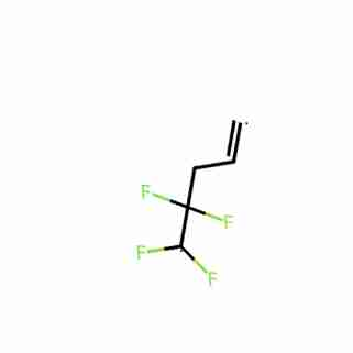 [CH]=CCC(F)(F)[C](F)F